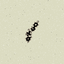 Cc1c(C(=O)Nc2ccc(C3CCC(=O)CC3)nc2)cnn1-c1ccc(F)cc1F